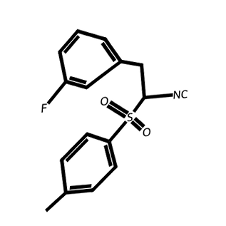 [C-]#[N+]C(Cc1cccc(F)c1)S(=O)(=O)c1ccc(C)cc1